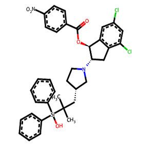 CC(C)(C[C@@H]1CCN([C@H]2Cc3c(Cl)cc(Cl)cc3[C@@H]2OC(=O)c2ccc([N+](=O)[O-])cc2)C1)[Si](O)(c1ccccc1)c1ccccc1